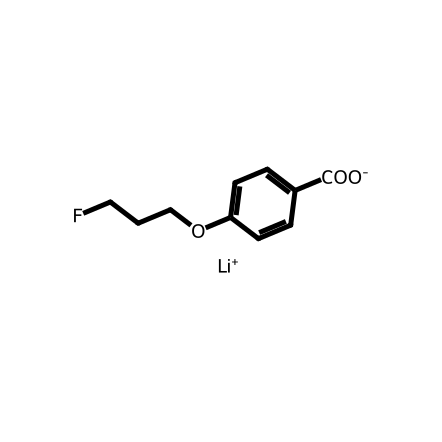 O=C([O-])c1ccc(OCCCF)cc1.[Li+]